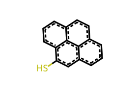 Sc1cc2cccc3ccc4cccc1c4c32